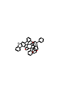 c1ccc(-c2cc(-c3cccc4c3C3(c5cc6c(cc5-4)sc4ccccc46)c4ccccc4C4(c5ccccc5-c5ccccc54)c4ccccc43)cc(-c3ccccc3)n2)cc1